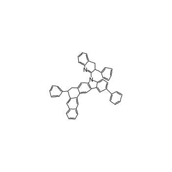 c1ccc(-c2ccc3c(c2)c2cc4c(cc2n3C2=Nc3ccccc3CC2c2ccccc2)CC(c2ccccc2)c2cc3ccccc3cc2-4)cc1